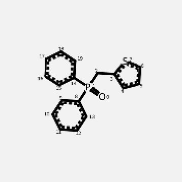 O=P(Cc1cccs1)(c1ccccc1)c1ccccc1